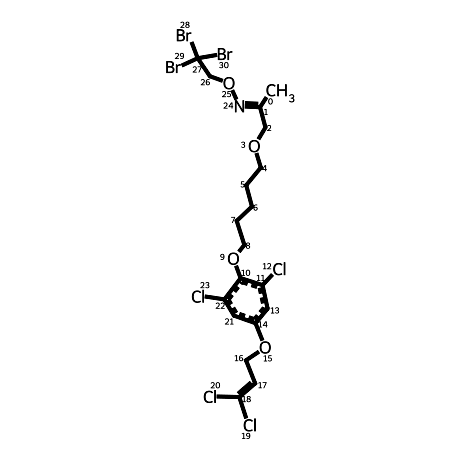 CC(COCCCCCOc1c(Cl)cc(OCC=C(Cl)Cl)cc1Cl)=NOCC(Br)(Br)Br